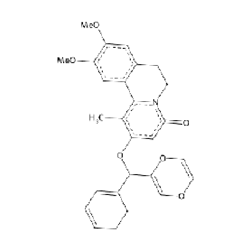 COc1cc2c(cc1OC)-c1c(C)c(OC(C3=CC=CCC3)C3=COC=CO3)cc(=O)n1CC2